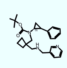 CC(C)(C)OC(=O)N(CC1(CNCc2cccnc2)CCC1)[C@H]1CC1c1ccccc1